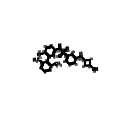 Cc1cccc(C)c1-c1nc(NS(=O)(=O)c2cccc(NC3CC(O)C3)n2)ccc1Cl